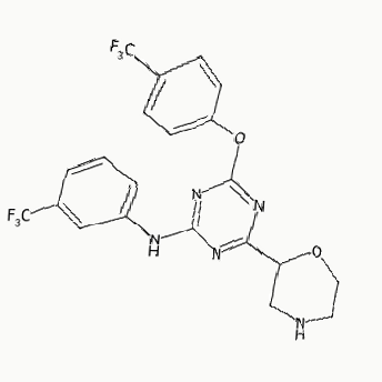 FC(F)(F)c1ccc(Oc2nc(Nc3cccc(C(F)(F)F)c3)nc(C3CNCCO3)n2)cc1